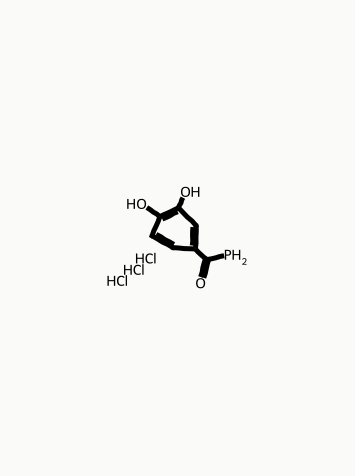 Cl.Cl.Cl.O=C(P)c1ccc(O)c(O)c1